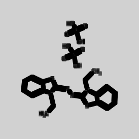 CCn1c(=NN=c2sc3ccccc3n2CC)sc2ccccc21.O=S(=O)(O)O.O=S(=O)(O)O